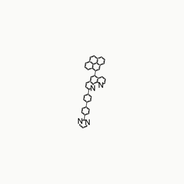 c1cnc(-c2ccc(-c3ccc(-c4ccc5cc(-c6cc7cccc8ccc9cccc6c9c87)c6cccnc6c5n4)cc3)cc2)nc1